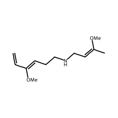 C=C/C(=C/CCNC/C=C(/C)OC)OC